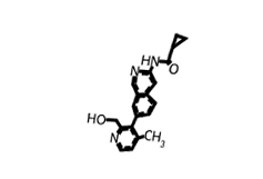 Cc1ccnc(CO)c1-c1ccc2cc(NC(=O)C3CC3)ncc2c1